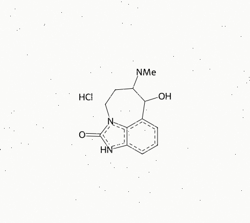 CNC1CCn2c(=O)[nH]c3cccc(c32)C1O.Cl